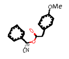 COc1ccc(CC(=O)O[C@H](C#N)c2ccccc2)cc1